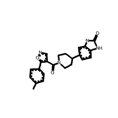 Cc1ccc(-c2oncc2C(=O)N2CCC(c3ccc4c(c3)[N]C(=O)N4)CC2)cc1